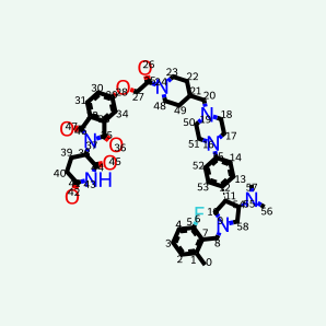 Cc1cccc(F)c1CN1C[C@H](c2ccc(N3CCN(CC4CCN(C(=O)COc5ccc6c(c5)C(=O)N(C5CCC(=O)NC5=O)C6=O)CC4)CC3)cc2)[C@@H](N(C)C)C1